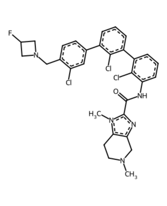 CN1CCc2c(nc(C(=O)Nc3cccc(-c4cccc(-c5ccc(CN6CC(F)C6)c(Cl)c5)c4Cl)c3Cl)n2C)C1